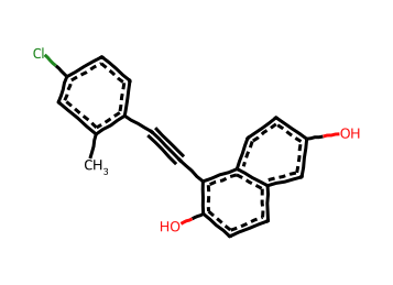 Cc1cc(Cl)ccc1C#Cc1c(O)ccc2cc(O)ccc12